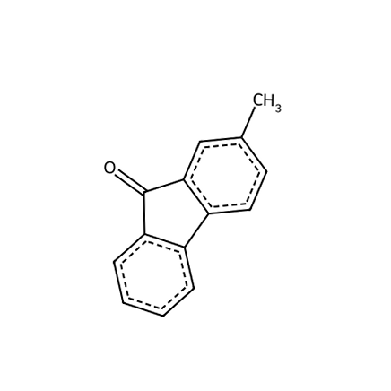 Cc1ccc2c(c1)C(=O)c1ccccc1-2